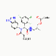 CCOC(=O)CC(=O)N(c1ccc2[nH]cnc2c1)C(C(=O)NCC(C)COC(=O)OC)c1cc(F)cc(F)c1F